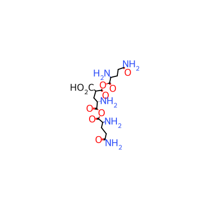 NC(=O)CC[C@H](N)C(=O)OC(=O)C(C[C@H](N)C(=O)OC(=O)[C@@H](N)CCC(N)=O)C(=O)O